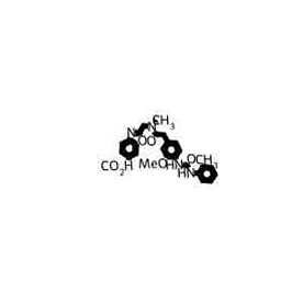 COc1cc(CC(=O)N(C)Cc2nc3ccc(C(=O)O)cc3o2)ccc1NC(=O)Nc1ccccc1C